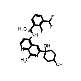 Cc1nc(C2(O)CCC(O)CC2)cc2c(N[C@H](C)c3cccc(C(F)F)c3F)ccnc12